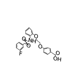 O=C(O)c1ccc(OCCOc2ccccc2NS(=O)(=O)c2cccc(F)c2)cc1